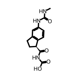 CNC(=O)Nc1ccc2c(c1)CC[C@@H]2C(=O)NC(=O)O